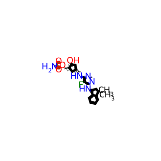 CC1(C)C[C@H](Nc2ncnc(NC[C@@H]3C[C@@H](COS(N)(=O)=O)[C@@H](O)C3)c2F)c2ccccc21